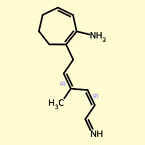 CC(/C=C\C=N)=C/CC1=C(N)C=CCCC1